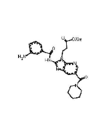 COC(=O)CCn1c(NC(=O)c2cccc(N)c2)nc2cc(C(=O)N3CCCCC3)cnc21